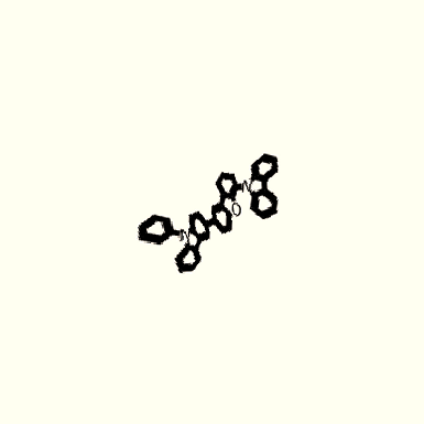 c1ccc(-n2c3ccccc3c3cc(-c4ccc5oc6c(-n7c8ccccc8c8ccccc87)cccc6c5c4)ccc32)cc1